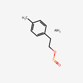 Cc1ccc(CCOP=O)cc1.[AlH3]